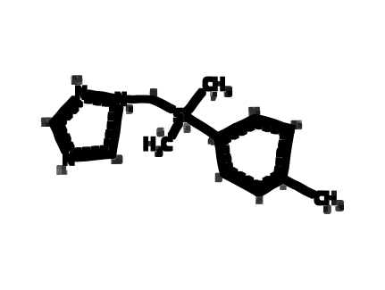 Cc1ccc([Si](C)(C)Cn2cncn2)cc1